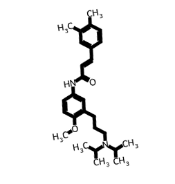 COc1ccc(NC(=O)C=Cc2ccc(C)c(C)c2)cc1CCCN(C(C)C)C(C)C